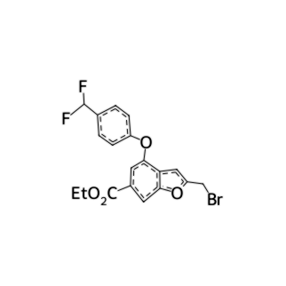 CCOC(=O)c1cc(Oc2ccc(C(F)F)cc2)c2cc(CBr)oc2c1